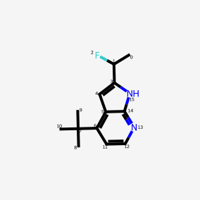 CC(F)c1cc2c(C(C)(C)C)ccnc2[nH]1